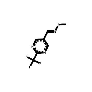 CS/N=C/c1cnc(C(F)(F)F)nc1